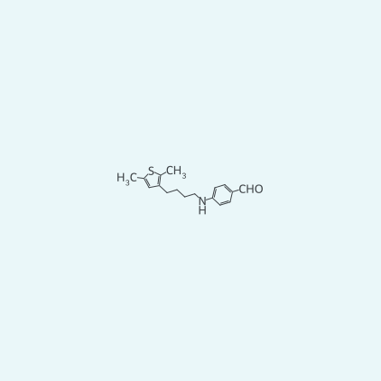 Cc1cc(CCCCNc2ccc(C=O)cc2)c(C)s1